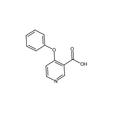 O=C(O)c1cnccc1Oc1ccccc1